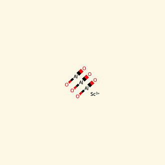 [O]=[Al][O-].[O]=[Al][O-].[O]=[Al][O-].[Sc+3]